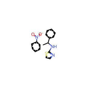 CC(Nc1nccs1)c1ccccc1.O=[N+]([O-])c1ccccc1